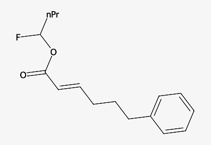 CCCC(F)OC(=O)C=CCCCc1ccccc1